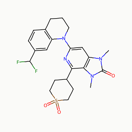 Cn1c(=O)n(C)c2c(C3CCS(=O)(=O)CC3)nc(N3CCCc4ccc(C(F)F)cc43)cc21